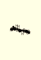 COc1cc(NC(=O)Nc2cccc(CNC(=O)O[C@@H]3CCC(S(=O)(=O)N(C)C)C3)c2)ccc1-c1cnco1